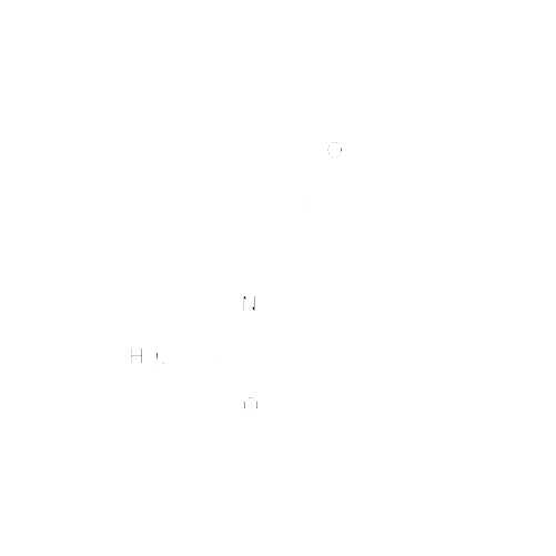 CC(=O)n1c2ccccc2c(=O)c2ccccc21